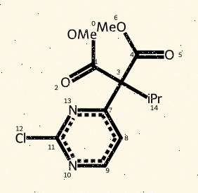 COC(=O)C(C(=O)OC)(c1ccnc(Cl)n1)C(C)C